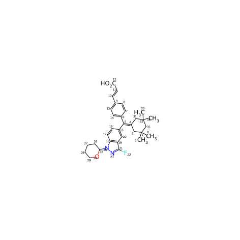 CC1(C)CC(=C(c2ccc(C=CC(=O)O)cc2)c2ccc3c(c2)c(F)nn3C2CCCCO2)CC(C)(C)C1